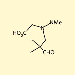 CNN(CC(=O)O)CC(C)(C)C=O